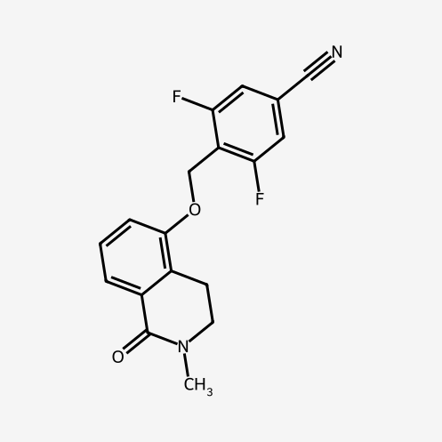 CN1CCc2c(OCc3c(F)cc(C#N)cc3F)cccc2C1=O